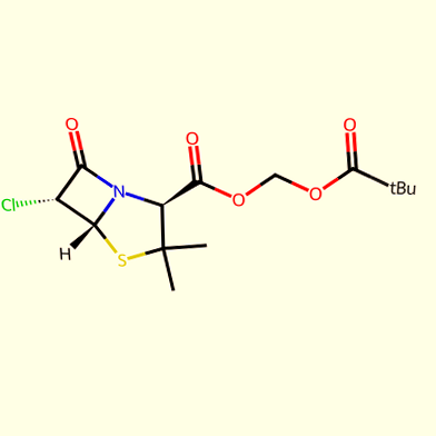 CC(C)(C)C(=O)OCOC(=O)[C@@H]1N2C(=O)[C@@H](Cl)[C@H]2SC1(C)C